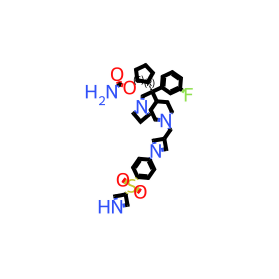 NC(=O)O[C@H]1CCC[C@@H]1C(CN1CCC1)(c1cccc(F)c1)C1CCN(CC2CN(c3ccc(S(=O)(=O)C4CNC4)cc3)C2)CC1